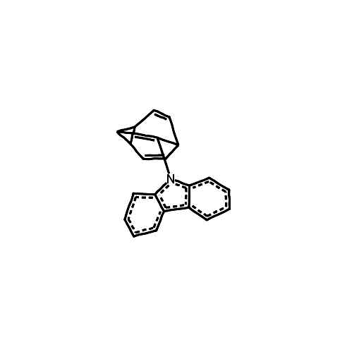 C1=CC2C3C=CC1C(n1c4ccccc4c4ccccc41)=CC23